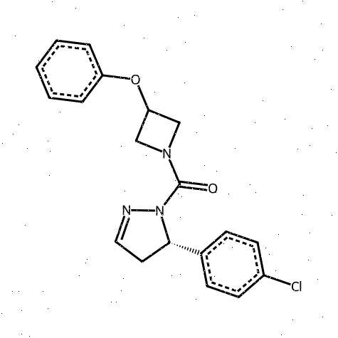 O=C(N1CC(Oc2ccccc2)C1)N1N=CC[C@H]1c1ccc(Cl)cc1